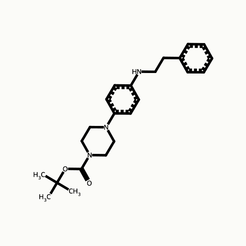 CC(C)(C)OC(=O)N1CCN(c2ccc(NCCc3ccccc3)cc2)CC1